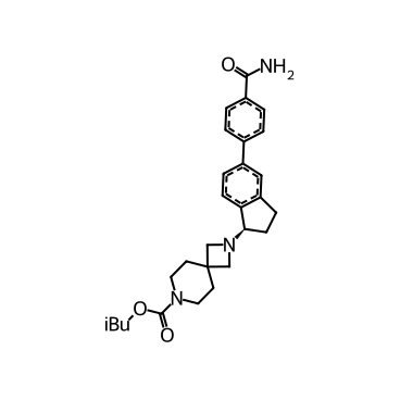 CCC(C)OC(=O)N1CCC2(CC1)CN([C@@H]1CCc3cc(-c4ccc(C(N)=O)cc4)ccc31)C2